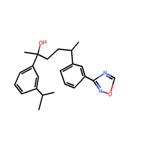 CC(C)c1cccc(C(C)(O)CCC(C)c2cccc(-c3ncon3)c2)c1